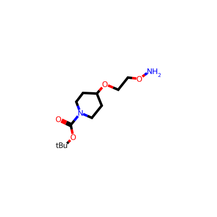 CC(C)(C)OC(=O)N1CCC(OCCON)CC1